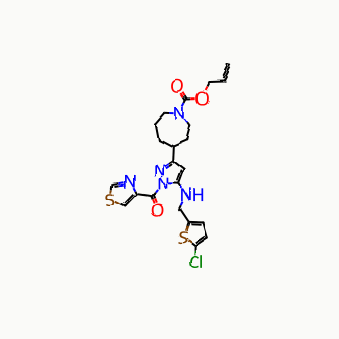 C=CCOC(=O)N1CCCC(c2cc(NCc3ccc(Cl)s3)n(C(=O)c3cscn3)n2)CC1